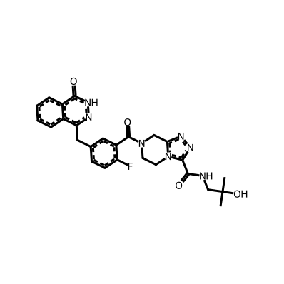 CC(C)(O)CNC(=O)c1nnc2n1CCN(C(=O)c1cc(Cc3n[nH]c(=O)c4ccccc34)ccc1F)C2